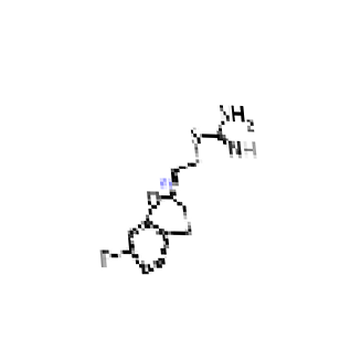 N=C(N)SC/C=C1\CCc2ccc(F)cc2O1